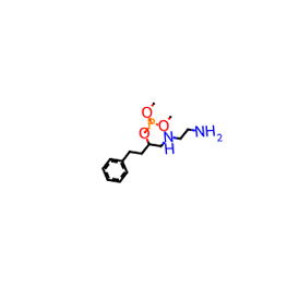 COP(OC)OC(CCc1ccccc1)CNCCN